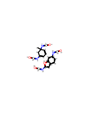 CC1(N=C=O)C=CC=C(N=C=O)C1.O=C=Nc1ccc2cc(N=C=O)oc2c1